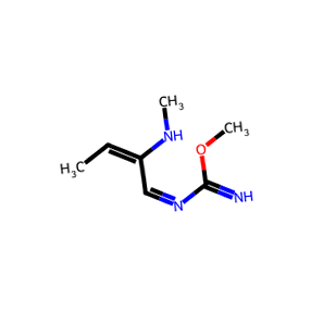 C/C=C(\C=N/C(=N)OC)NC